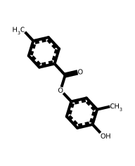 Cc1ccc(C(=O)Oc2ccc(O)c(C)c2)cc1